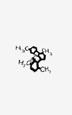 Cc1ccc2c(c1)P1(=O)c3c(C)ccc(C)c3-c3ccc(C)c-2c31